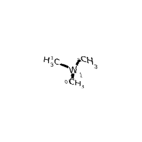 [CH3][W]([CH3])[CH3]